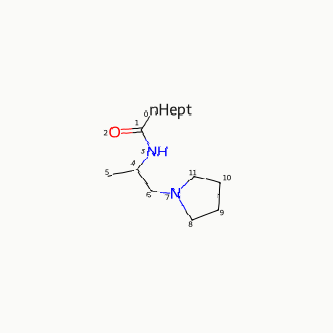 CCCCCCCC(=O)NC(C)CN1CCCC1